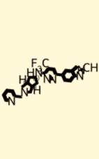 Cn1cc2cc(-c3cc(C(F)(F)F)c(N[C@H]4C[C@@H]5CN(Cc6ccccn6)C[C@@H]5C4)nn3)ccc2n1